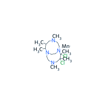 CC1CN(C)CCN2CCN(CCN(C)CC(C)(Cl)C2(C)Cl)C1C.[Mn]